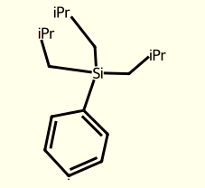 CC(C)C[Si](CC(C)C)(CC(C)C)c1cc[c]cc1